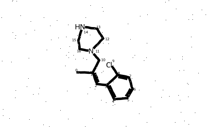 CC(=Cc1ccccc1Cl)CN1CCNCC1